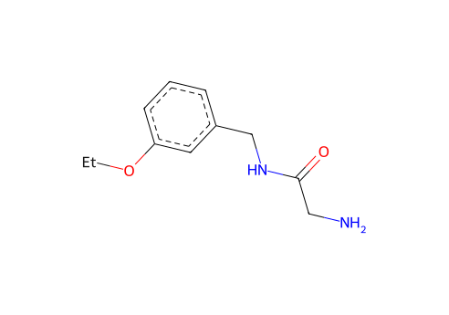 CCOc1cccc(CNC(=O)CN)c1